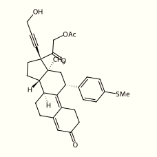 CSc1ccc([C@H]2C[C@@]3(C)[C@@H](CC[C@]3(C#CCO)C(=O)COC(C)=O)[C@@H]3CCC4=CC(=O)CCC4=C32)cc1